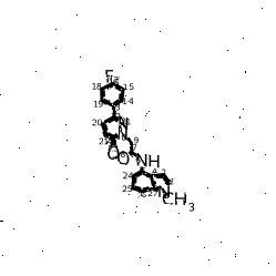 Cn1ccc2c(NC(=O)Cn3nc(-c4ccc(F)cc4)ccc3=O)cccc21